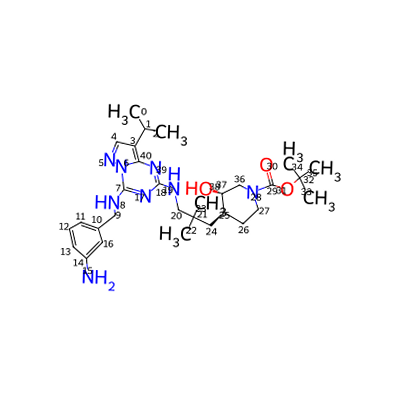 CC(C)c1cnn2c(NCc3cccc(N)c3)nc(NCC(C)(C)C[C@@H]3CCN(C(=O)OC(C)(C)C)C[C@@H]3O)nc12